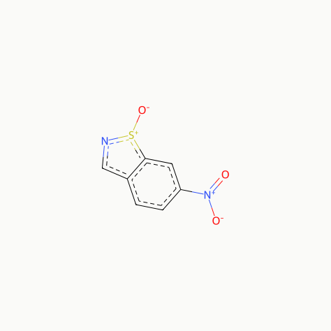 O=[N+]([O-])c1ccc2cn[s+]([O-])c2c1